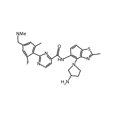 CNCc1cc(C)c(-c2nccc(C(=O)Nc3ccc4sc(C)nc4c3N3CCC(N)C3)n2)c(F)c1